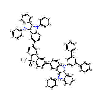 CC1(C)c2ccc(-c3ccc4c(c3)C3C(c5ccccc5N3c3ccccc3)N4c3ccccc3)cc2-c2cc(-c3ccc4c(c3)C3C(c5ccccc5N3c3ccccc3)N4c3cc(-c4ccccc4)cc(-c4ccccc4)c3)ccc21